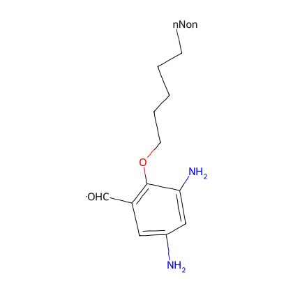 CCCCCCCCCCCCCCOc1c(N)cc(N)cc1[C]=O